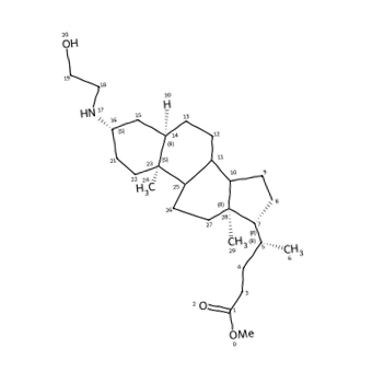 COC(=O)CC[C@@H](C)[C@H]1CCC2C3CC[C@@H]4C[C@@H](NCCO)CC[C@]4(C)C3CC[C@@]21C